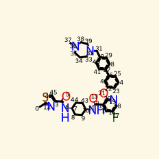 Cc1nc(C(=O)N[C@H]2CC[C@H](NC(=O)c3cc(F)cnc3Oc3cccc(-c4ccc(CN5CCCN(C)CC5)cc4)c3)CC2)cs1